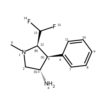 CN1C[C@@H](N)[C@H](c2ccccc2)[C@@H]1C(F)F